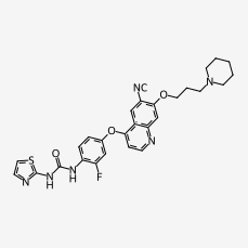 [C-]#[N+]c1cc2c(Oc3ccc(NC(=O)Nc4nccs4)c(F)c3)ccnc2cc1OCCCN1CCCCC1